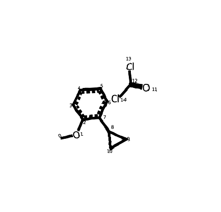 COc1ccccc1C1CC1.O=C(Cl)Cl